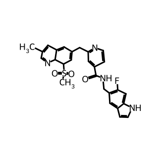 CC1=CC2=CC(Cc3cc(C(=O)NCc4cc5cc[nH]c5cc4F)ccn3)=CC(S(C)(=O)=O)C2N=C1